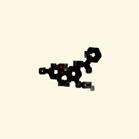 COc1cc(NC(=O)c2ccccn2)cc(OC)c1/N=N\c1ccnc(Cl)c1